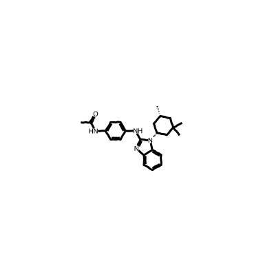 CC(=O)Nc1ccc(Nc2nc3ccccc3n2[C@@H]2C[C@H](C)CC(C)(C)C2)cc1